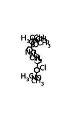 CN(C)C(=O)c1ccc(C2=CCN(Cc3cc4c(B5OC(C)(C)C(C)(C)O5)ccnc4n3C)CC2)c(Cl)c1